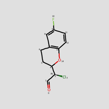 O=C[C@H](Cl)C1CCc2cc(F)ccc2O1